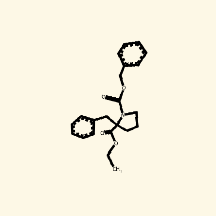 CCOC(=O)C1(Cc2ccccc2)CCCN1C(=O)OCc1ccccc1